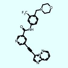 O=C(Nc1ccc(CN2CCOCC2)c(C(F)(F)F)c1)c1cncc(C#Cc2cnc3cccnn23)c1